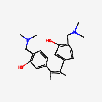 CC(=C(C)c1ccc(CN(C)C)c(O)c1)c1ccc(CN(C)C)c(O)c1